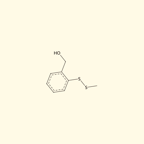 CSSc1ccccc1CO